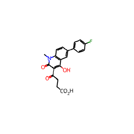 Cn1c(=O)c(C(=O)CCC(=O)O)c(O)c2cc(-c3ccc(F)cc3)ccc21